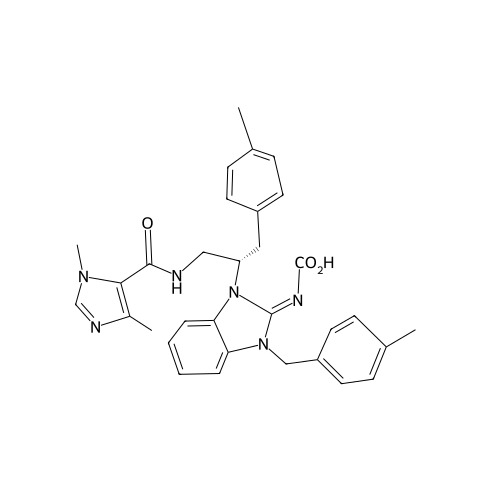 Cc1ccc(C[C@@H](CNC(=O)c2c(C)ncn2C)n2c(=NC(=O)O)n(Cc3ccc(C)cc3)c3ccccc32)cc1